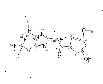 COc1cc(O)cc(C(=O)Nc2nc(CC(F)(F)F)n(C(C)C)n2)c1